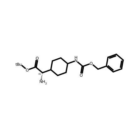 CC(C)(C)OC(=O)[C@@H](N)C1CCC(NC(=O)OCc2ccccc2)CC1